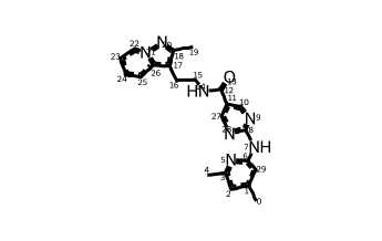 Cc1cc(C)nc(Nc2ncc(C(=O)NCCc3c(C)nn4ccccc34)cn2)c1